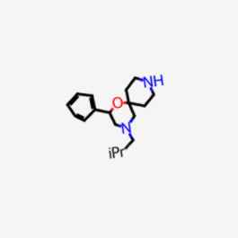 CC(C)CN1CC(c2ccccc2)OC2(CCNCC2)C1